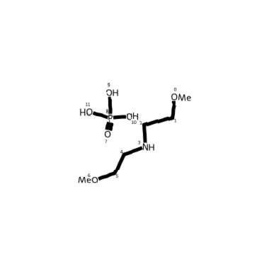 COCCNCCOC.O=P(O)(O)O